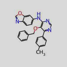 Cc1ccc(-c2ncnc(Nc3ccc4ncoc4c3)c2OCc2ccccc2)cc1